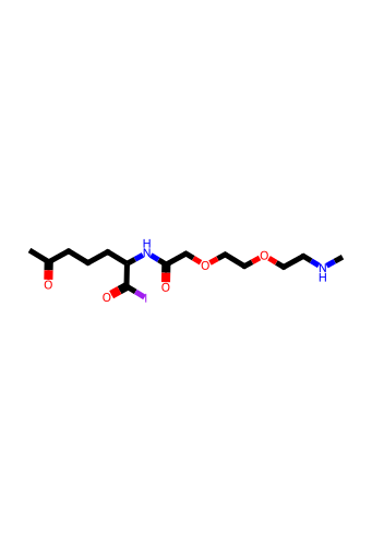 CNCCOCCOCC(=O)NC(CCCC(C)=O)C(=O)I